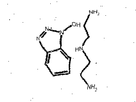 NCCNCCN.On1nnc2ccccc21